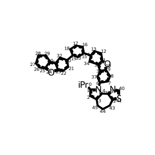 CC(C)c1cc2c(n1-c1ccc3oc4ccc(-c5cccc(-c6ccc7oc8ccccc8c7c6)c5)cc4c3c1)-c1ncsc1CCC2